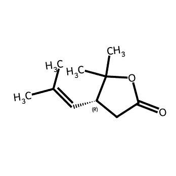 CC(C)=C[C@H]1CC(=O)OC1(C)C